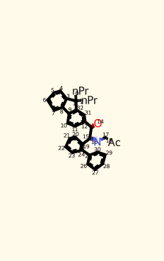 CCCC1(CCC)c2ccccc2-c2ccc(C(=O)/C(=N\CC(C)=O)c3ccccc3-c3ccccc3)cc21